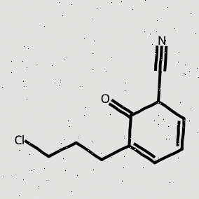 N#CC1C=CC=C(CCCCl)C1=O